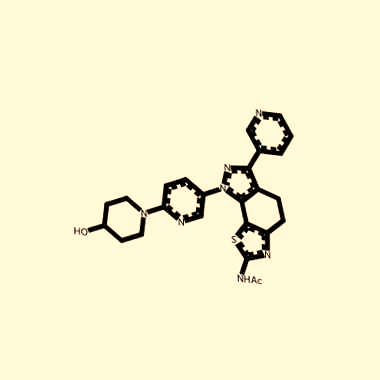 CC(=O)Nc1nc2c(s1)-c1c(c(-c3cccnc3)nn1-c1ccc(N3CCC(O)CC3)nc1)CC2